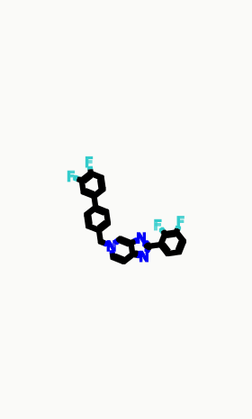 Fc1ccc(-c2ccc(Cn3ccc4nc(-c5cccc(F)c5F)nc-4c3)cc2)cc1F